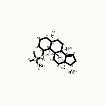 CCC[C@H]1CC=C2[C@@H]3CC[C@@H]4CCCC(O[Si](C)(C)C(C)(C)C)[C@]4(C)[C@H]3CC[C@@]21C